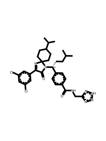 CC(C)CC[C@H](c1ccc(C(=O)NCc2nn[nH]n2)cc1)N1C(=O)C(c2cc(Cl)cc(Cl)c2)=NC12CCC(C(C)C)CC2